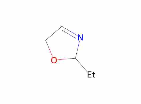 CCC1N=CCO1